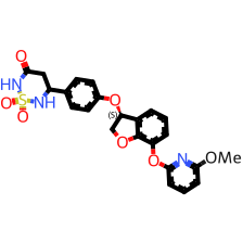 COc1cccc(Oc2cccc3c2OC[C@H]3Oc2ccc(C3CC(=O)NS(=O)(=O)N3)cc2)n1